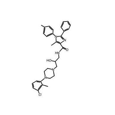 Cc1ccc(-n2c(-c3ccccc3)nc(C(=O)NCC(O)CN3CCN(c4cccc(Cl)c4C)CC3)c2C)cc1